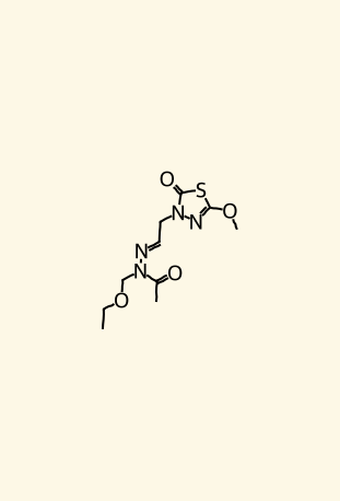 CCOCN(N=CCn1nc(OC)sc1=O)C(C)=O